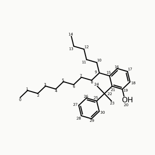 CCCCCCCCCC(CCCCC)c1cccc(O)c1C(C)(C)c1ccccc1